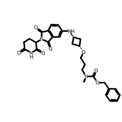 CN(CCCO[C@H]1C[C@H](Nc2ccc3c(c2)C(=O)N(C2CCC(=O)NC2=O)C3=O)C1)C(=O)OCc1ccccc1